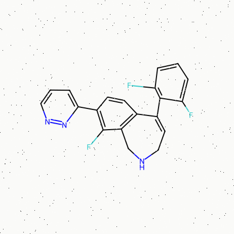 Fc1cccc(F)c1C1=CCNCc2c1ccc(-c1cccnn1)c2F